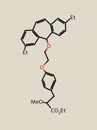 CCOC(=O)C(Cc1ccc(OCCOC2c3ccc(CC)cc3C=Cc3ccc(CC)cc32)cc1)OC